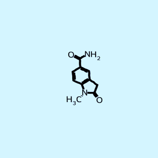 CN1C(=O)Cc2cc(C(N)=O)ccc21